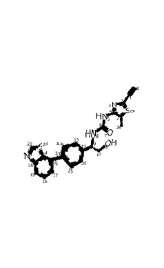 C#Cc1nc(NC(=O)N[C@@H](CO)c2ccc(-c3cccc4ncsc34)cc2)c(C)s1